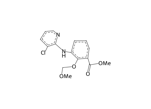 COCOc1c(Nc2ncccc2Cl)cccc1C(=O)OC